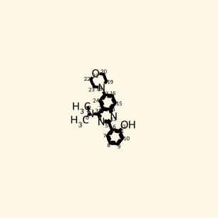 CN(C)c1nc(-c2ccccc2O)nc2ccc(N3CCOCC3)cc12